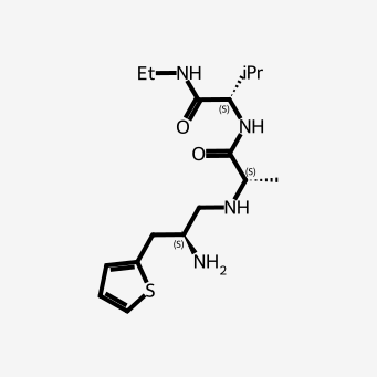 CCNC(=O)[C@@H](NC(=O)[C@H](C)NC[C@@H](N)Cc1cccs1)C(C)C